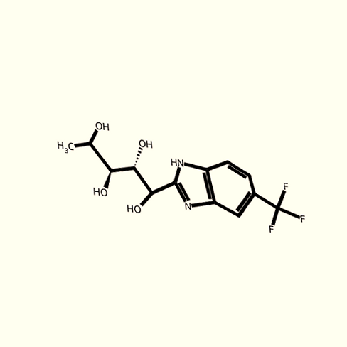 CC(O)[C@H](O)[C@H](O)C(O)c1nc2cc(C(F)(F)F)ccc2[nH]1